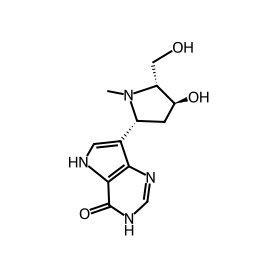 CN1[C@@H](c2c[nH]c3c(=O)[nH]cnc23)C[C@H](O)[C@H]1CO